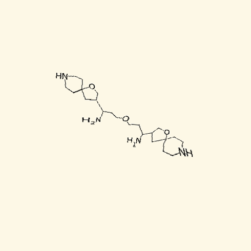 NC(CCOCCC(N)C1COC2(CCNCC2)C1)C1COC2(CCNCC2)C1